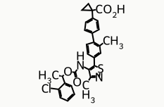 Cc1cc(-c2snc(C)c2NC(=O)O[C@H](C)c2ccccc2Cl)ccc1-c1ccc(C2(C(=O)O)CC2)cc1